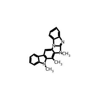 Cc1c2c(cc3c1n(C)c1nc4ccccc4n31)c1ccccc1n2C